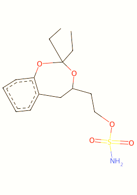 CCC1(CC)Oc2ccccc2CC(CCOS(N)(=O)=O)O1